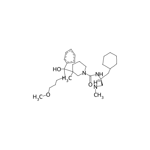 CNC[C@H](CC1CCCCC1)NC(=O)N1CCCC(C)(C(O)(CCCCOC)c2ccccc2)C1